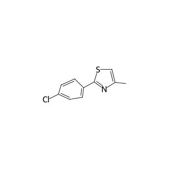 Cc1csc(-c2ccc(Cl)cc2)n1